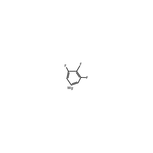 Fc1cccc(F)c1F.[Mg]